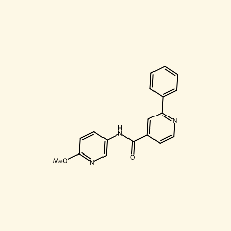 COc1ccc(NC(=O)c2ccnc(-c3ccccc3)c2)cn1